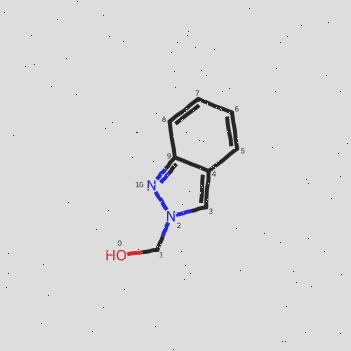 OCn1cc2ccccc2n1